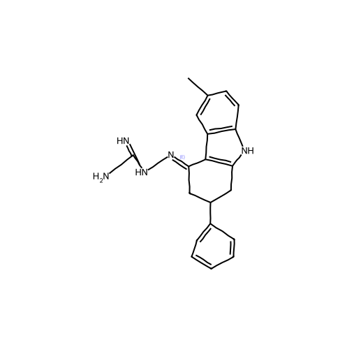 Cc1ccc2[nH]c3c(c2c1)/C(=N/NC(=N)N)CC(c1ccccc1)C3